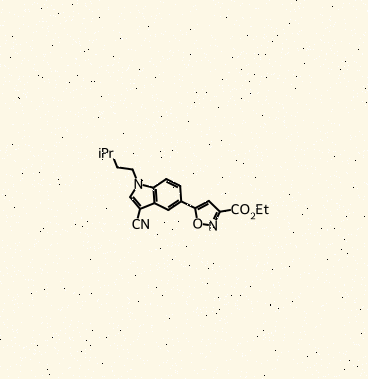 CCOC(=O)c1cc(-c2ccc3c(c2)c(C#N)cn3CCC(C)C)on1